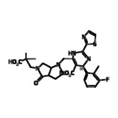 CCOC(=O)C1=C(CN2CCC3C(=O)N(CC(C)(C)C(=O)O)CC32)NC(c2nccs2)=N[C@H]1c1cccc(F)c1C